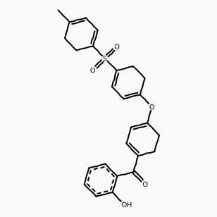 CC1=CC=C(S(=O)(=O)C2=CC=C(OC3=CC=C(C(=O)c4ccccc4O)CC3)CC2)CC1